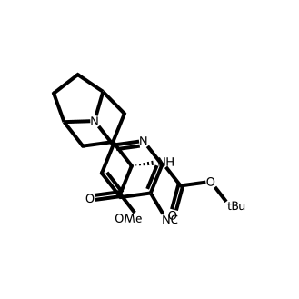 [C-]#[N+]c1ccc(N2C3CCC2CC([C@H](NC(=O)OC(C)(C)C)C(=O)OC)C3)nc1